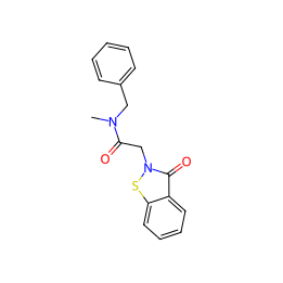 CN(Cc1ccccc1)C(=O)Cn1sc2ccccc2c1=O